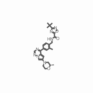 Cc1cc(-c2ncnn3cc(N4CCO[C@H](C)C4)cc23)ccc1CNC(=O)c1nc(C(C)(C)C)no1